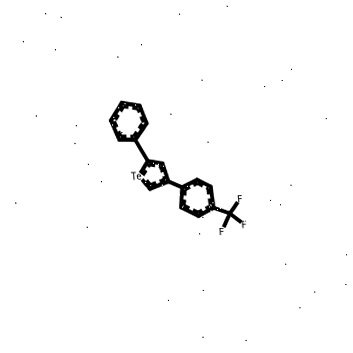 FC(F)(F)c1ccc(-c2c[te]c(-c3ccccc3)c2)cc1